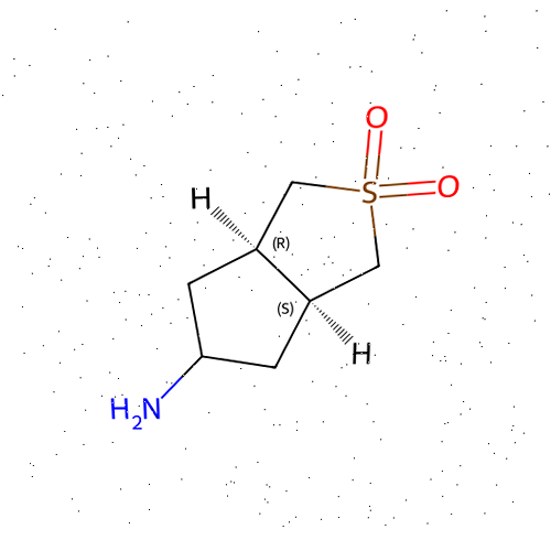 NC1C[C@@H]2CS(=O)(=O)C[C@@H]2C1